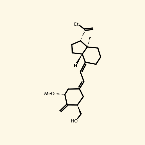 C=C(CC)[C@H]1CC[C@H]2/C(=C/C=C3/C[C@@H](CO)C(=C)[C@H](OC)C3)CCC[C@]12C